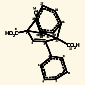 O=C(O)C12C=C(c3ccccc3)C(C(=O)O)(C=C1Cl)c1ccc2cc1